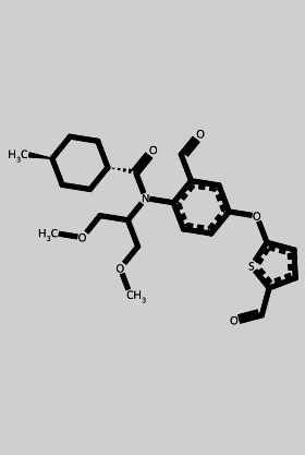 COCC(COC)N(c1ccc(Oc2ccc(C=O)s2)cc1C=O)C(=O)[C@H]1CC[C@H](C)CC1